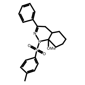 COC12CCCCC1CC(c1ccccc1)=NN2S(=O)(=O)c1ccc(C)cc1